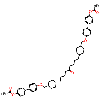 CCCC(=O)Oc1ccc(-c2ccc(OCC3CCC(CCCCC(=O)CCCC[C@H]4CC[C@H](COc5ccc(-c6ccc(OC(=O)CCC)cc6)cc5)CC4)CC3)cc2)cc1